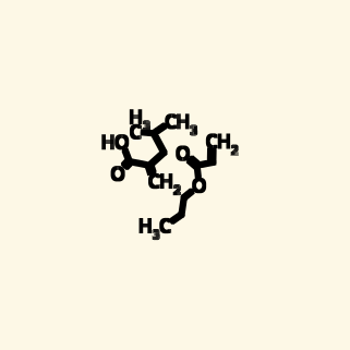 C=C(CC(C)C)C(=O)O.C=CC(=O)OCCC